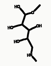 CNCC(O)C(O)C(O)C(O)OC